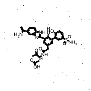 C=C(N)c1ccc2[nH]c(-c3cc(CC(=O)N[C@H](CC(=O)O)C(C)=O)cc(-c4cc(S(N)(=O)=O)ccc4O)c3O)nc2c1